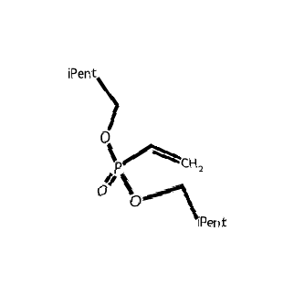 C=CP(=O)(OCC(C)CCC)OCC(C)CCC